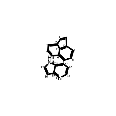 C1=Cc2cccc3cccc1c23.c1cnc2cc[nH]c2c1